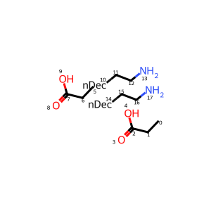 CCC(=O)O.CCC(=O)O.CCCCCCCCCCCCN.CCCCCCCCCCCCN